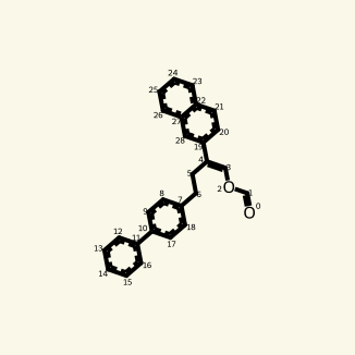 O=CO/C=C(\CCc1ccc(-c2ccccc2)cc1)c1ccc2ccccc2c1